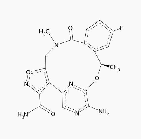 C[C@H]1Oc2nc(cnc2N)-c2c(C(N)=O)noc2CN(C)C(=O)c2ccc(F)cc21